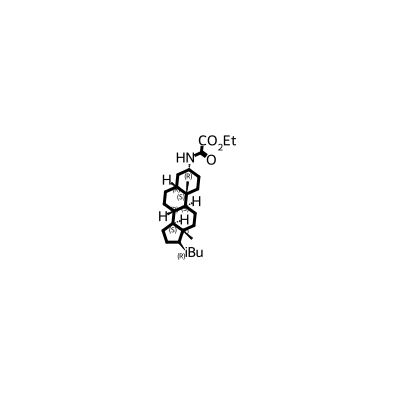 CCOC(=O)C(=O)N[C@@H]1CC[C@@]2(C)[C@H](CC[C@@H]3[C@@H]2CC[C@]2(C)C([C@H](C)CC)CC[C@@H]32)C1